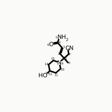 CC(C=CC(N)=O)(CC#N)N1CCC(O)CC1